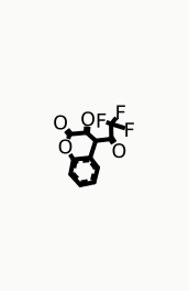 O=C1Oc2ccccc2C(C(=O)C(F)(F)F)C1=O